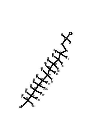 C[Si](C)(Cl)CCC(F)(F)C(F)(F)C(F)(F)C(F)(F)C(F)(F)C(F)(F)C(F)(F)C(F)(F)C(F)(F)C(F)(F)F